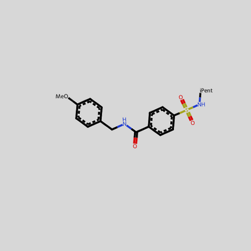 CCCC(C)NS(=O)(=O)c1ccc(C(=O)NCc2ccc(OC)cc2)cc1